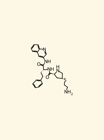 NCCS[C@H]1CN[C@H](C(=O)N[C@H](CCc2ccccc2)C(=O)Nc2cnc3ccccc3c2)C1